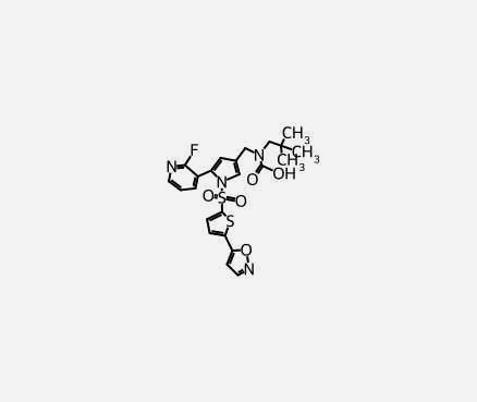 CC(C)(C)CN(Cc1cc(-c2cccnc2F)n(S(=O)(=O)c2ccc(-c3ccno3)s2)c1)C(=O)O